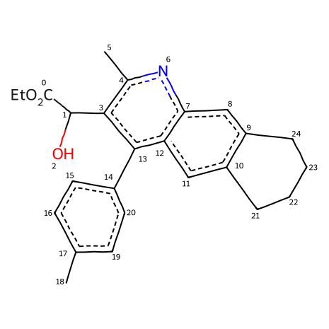 CCOC(=O)C(O)c1c(C)nc2cc3c(cc2c1-c1ccc(C)cc1)CCCC3